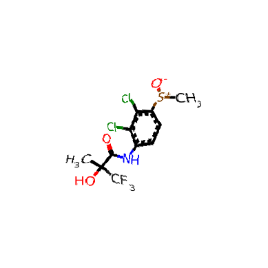 C[S+]([O-])c1ccc(NC(=O)C(C)(O)C(F)(F)F)c(Cl)c1Cl